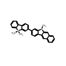 Cn1c2cc(-c3ccc4c(c3)[Si](C)(C)c3ccccc3-4)ccc2c2cc3ccccc3cc21